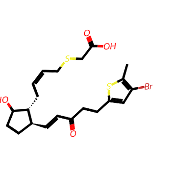 Cc1sc(CCC(=O)/C=C/[C@H]2CCC(O)[C@@H]2C/C=C\CSCC(=O)O)cc1Br